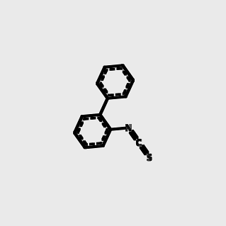 S=C=Nc1ccccc1-c1ccccc1